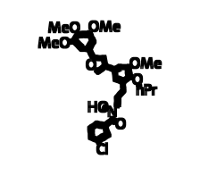 CCCOc1c(CC=CN(O)C(=O)c2cccc(Cl)c2)cc(C2COC(c3cc(OC)c(OC)c(OC)c3)C2)cc1OC